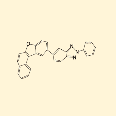 c1ccc(-n2nc3ccc(-c4ccc5oc6ccc7ccccc7c6c5c4)cc3n2)cc1